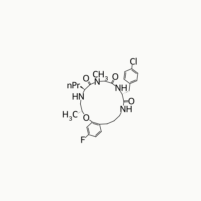 CCC[C@@H]1NC[C@@H](C)Oc2cc(F)ccc2CCCNC(=O)[C@@H](Cc2ccc(Cl)cc2)NC(=O)CN(C)C1=O